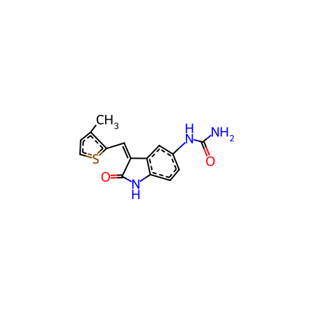 Cc1ccsc1C=C1C(=O)Nc2ccc(NC(N)=O)cc21